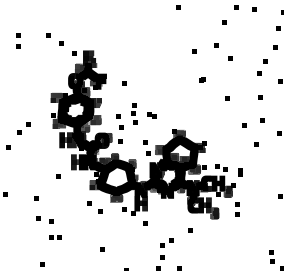 CN(C)c1nc(NC2CCC(NC(=O)Nc3ccc(OC(F)F)cc3)CC2)nc2c1CCCC2